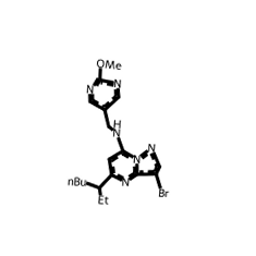 CCCCC(CC)c1cc(NCc2cnc(OC)nc2)n2ncc(Br)c2n1